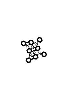 c1ccc(N2c3ccc4c5c3B3c6c(ccc7c6B5c5c(ccc6c8ccccc8n-7c56)N4c4ccccc4)-n4c5ccccc5c5ccc2c3c54)cc1